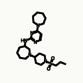 CCCS(=O)(=O)N1CCC(N2CCCCC(Nc3nccc(N4CCCCCC4)n3)C2)CC1